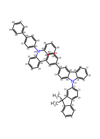 CC1(C)c2ccccc2-c2ccc(-n3c4ccccc4c4cc(-c5cccc(-c6ccccc6N(c6ccccc6)c6ccc(-c7ccccc7)cc6)c5)ccc43)cc21